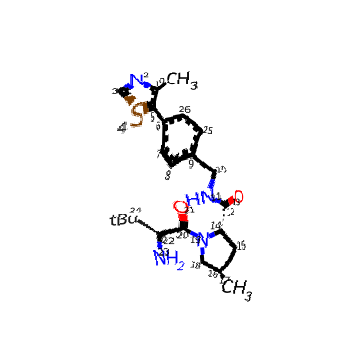 Cc1ncsc1-c1ccc(CNC(=O)[C@@H]2C[C@@H](C)CN2C(=O)[C@@H](N)C(C)(C)C)cc1